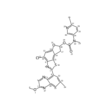 COc1cnc2c(-c3nc4c(Cl)cc5c(c4s3)CC(OC(=O)N(C)c3ccc(C)nc3)O5)cc(C)cc2n1